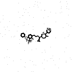 CC1=C(c2ccbnc2)SC=C(C(CCCc2ccc(Oc3ccccc3)c(C(F)(F)F)c2C)=C2CC2)CC1